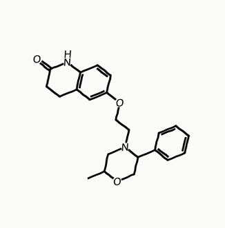 CC1CN(CCOc2ccc3c(c2)CCC(=O)N3)C(c2ccccc2)CO1